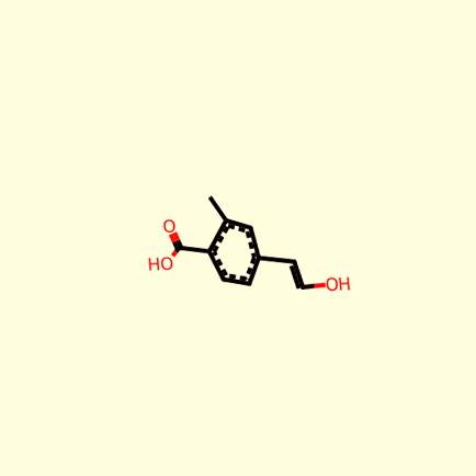 Cc1cc(C=CO)ccc1C(=O)O